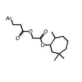 CC(=O)CCC(=O)OCC(=O)OC1CC(C)(C)CCCC1C